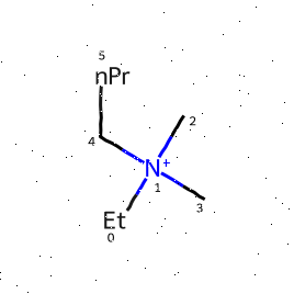 [CH2]C[N+](C)(C)CCCC